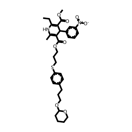 CCC1=C(C(=O)OC)C(c2cccc([N+](=O)[O-])c2)C(C(=O)OCCCSc2ccc(CCCOC3CCCCO3)cc2)=C(C)N1